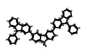 c1ccc(-n2c3ccccc3c3ccc(-c4cc5c(cn4)[SiH2]c4cnc(-c6ccc7c8ccccc8n(-c8ccccc8)c7c6)nc4-5)cc32)cc1